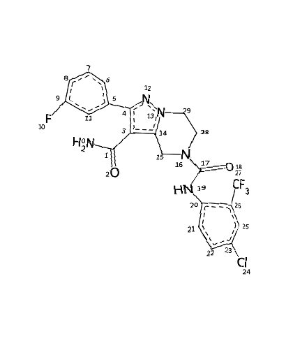 NC(=O)c1c(-c2cccc(F)c2)nn2c1CN(C(=O)Nc1ccc(Cl)cc1C(F)(F)F)CC2